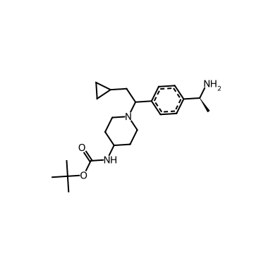 C[C@H](N)c1ccc(C(CC2CC2)N2CCC(NC(=O)OC(C)(C)C)CC2)cc1